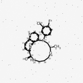 C[C@@H]1CN(c2ccc(F)c(Cl)c2)c2ccnc3ccc(nc23)C(=O)NCCCO1